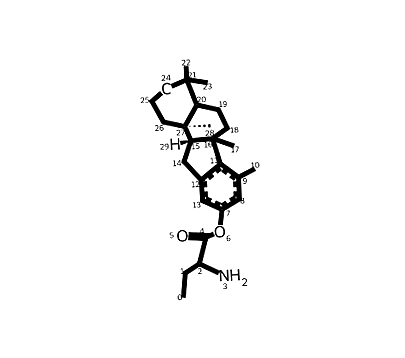 CCC(N)C(=O)Oc1cc(C)c2c(c1)C[C@H]1C2(C)CCC2C(C)(C)CCC[C@@]21C